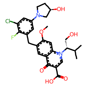 COc1cc2c(cc1Cc1cc(N3CC[C@@H](O)C3)cc(Cl)c1F)c(=O)c(C(=O)O)cn2[C@H](CO)C(C)C